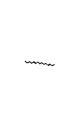 CCC=CCCC[CH]CC=CCCCC